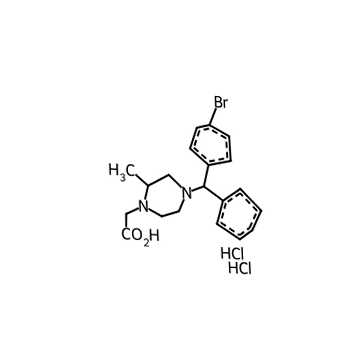 CC1CN(C(c2ccccc2)c2ccc(Br)cc2)CCN1CC(=O)O.Cl.Cl